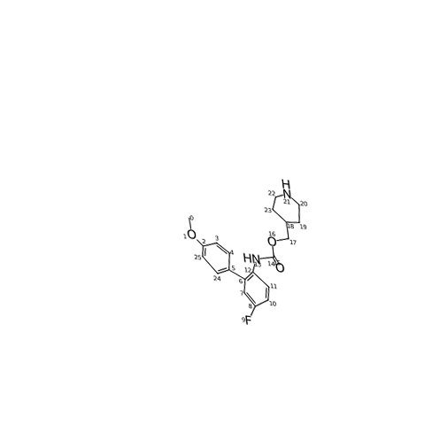 COc1ccc(-c2cc(F)ccc2NC(=O)OCC2CCNCC2)cc1